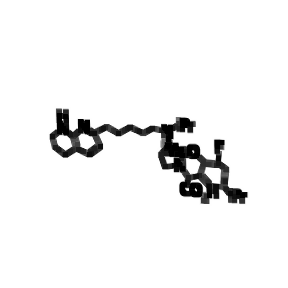 COc1c(F)cc(C(C)C)cc1C(C(=O)O)N1CC[C@@H](N(CCCCCc2ccc3c(n2)NCCC3)C(C)C)C1